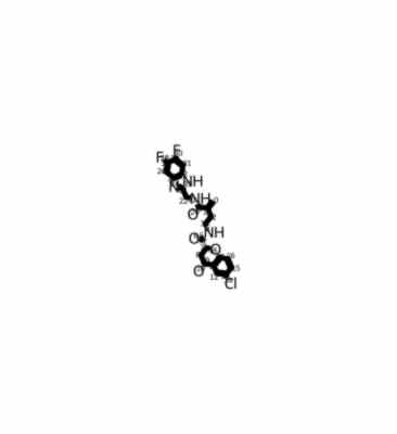 C=C(CCNC(=O)[C@H]1CC(=O)c2cc(Cl)ccc2O1)C(=O)NCc1nc2cc(F)c(F)cc2[nH]1